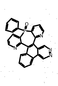 O=P1(c2ccccc2)c2cccnc2-c2c(c3cnncc3c3ccccc23)-c2ncccc21